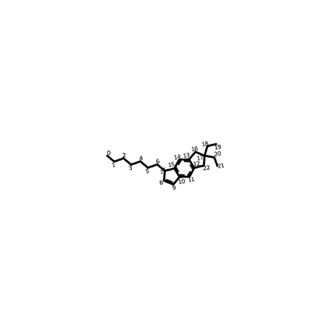 CCCCCCC[C]1C=Cc2cc3c(cc21)CC(CC)(CC)C3